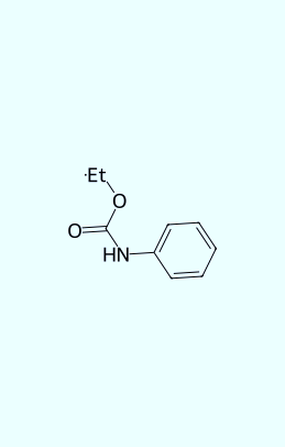 C[CH]OC(=O)Nc1ccccc1